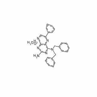 Nc1nc(N(Cc2ccccc2)Cc2ccccc2)c2nc(-c3ccccc3)cnc2n1.O.O